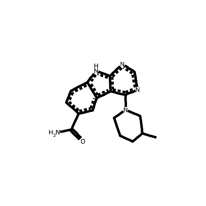 CC1CCCN(c2ncnc3[nH]c4ccc(C(N)=O)cc4c23)C1